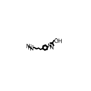 [N-]=[N+]=NCCCCc1ccc(-n2cc(CO)cn2)cc1